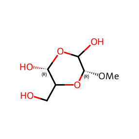 CO[C@@H]1OC(CO)[C@H](O)OC1O